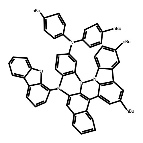 CCCCc1ccc(N(c2ccc(CCCC)cc2)c2ccc3c(c2)B2c4c(cc5ccccc5c4-c4cc(CCCC)cc5c6cc(CCCC)ccc6n2c45)N3c2cccc3c2oc2ccccc23)cc1